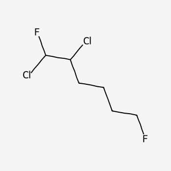 FCCCCC(Cl)C(F)Cl